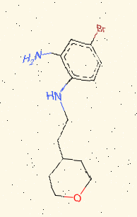 Nc1cc(Br)ccc1NCCC1CCOCC1